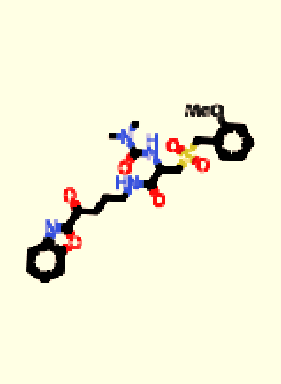 COc1ccccc1CS(=O)(=O)CC(NC(=O)N(C)C)C(=O)NCCCC(=O)c1nc2ccccc2o1